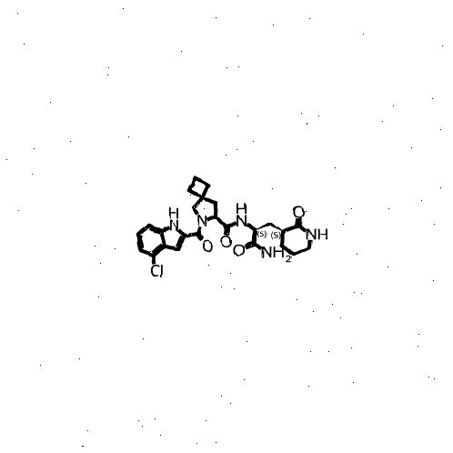 NC(=O)[C@H](C[C@@H]1CCCNC1=O)NC(=O)C1CC2(CCC2)CN1C(=O)c1cc2c(Cl)cccc2[nH]1